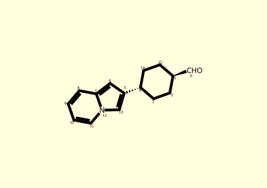 O=C[C@H]1CC[C@H](c2cc3ccccn3c2)CC1